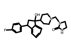 O=C1NCCN1CN1CCC(C2(O)CC(c3ccc(F)cc3)c3ccccc32)CC1